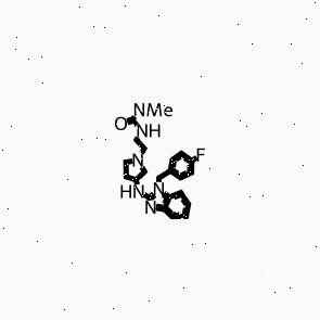 CNC(=O)NCCN1CCC(Nc2nc3ccccc3n2Cc2ccc(F)cc2)C1